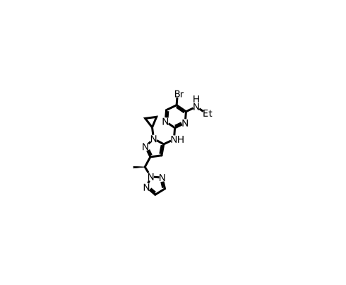 CCNc1nc(Nc2cc([C@H](C)n3nccn3)nn2C2CC2)ncc1Br